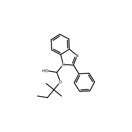 CCC(C)(C)OC(O)n1c(-c2ccccc2)nc2ccccc21